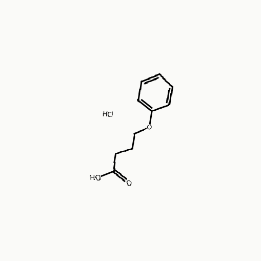 Cl.O=C(O)CCCOc1ccccc1